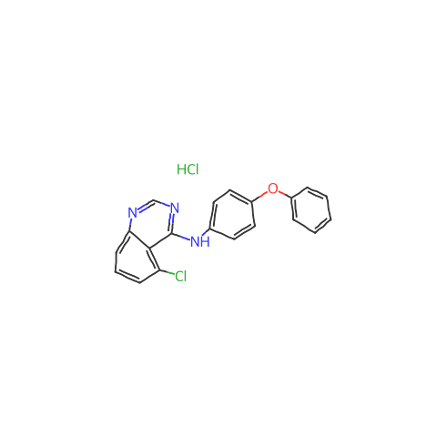 Cl.Clc1cccc2ncnc(Nc3ccc(Oc4ccccc4)cc3)c12